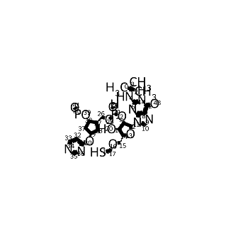 CC(C)(C)Nc1nc2c(ncn2[C@@H]2O[C@H](COCS)[C@@H](O)[C@H]2O[PH](=O)OC[C@H]2C[C@@H](Oc3ccncn3)C[C@@H]2OP=O)c(=O)[nH]1